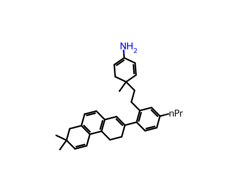 CCCc1ccc(C2=Cc3ccc4c(c3CC2)C=CC(C)(C)C4)c(CCC2(C)C=CC(N)=CC2)c1